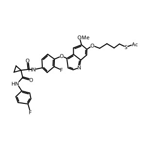 COc1cc2c(Oc3ccc(NC(=O)C4(C(=O)Nc5ccc(F)cc5)CC4)cc3F)ccnc2cc1OCCCCSC(C)=O